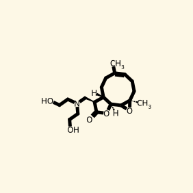 C/C1=C/CC[C@@]2(C)OC2[C@H]2OC(=O)[C@@H](CN(CCO)CCO)[C@@H]2CC1